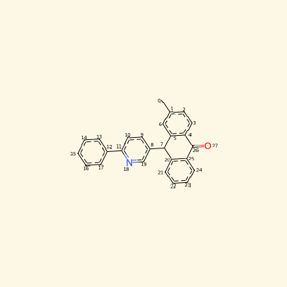 Cc1ccc2c(c1)C(c1ccc(-c3ccccc3)nc1)c1ccccc1C2=O